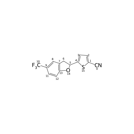 N#Cc1ccc(C2Cc3cc(C(F)(F)F)ccc3O2)s1